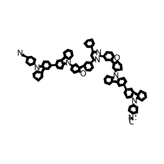 [C-]#[N+]c1ccc(-n2c3ccccc3c3cc(-c4ccc5c(c4)c4ccccc4n5-c4ccc5oc6ccc(-c7nc(-c8ccccc8)cc(-c8ccc9oc%10ccc(-n%11c%12ccccc%12c%12cc(-c%13ccc%14c(c%13)c%13ccccc%13n%14-c%13ccc(C#N)cc%13)ccc%12%11)cc%10c9c8)n7)cc6c5c4)ccc32)cc1